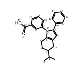 CC(C)C1CCc2c(cc(-c3ccccc3)n2-c2cccc(C(=O)O)c2)C1